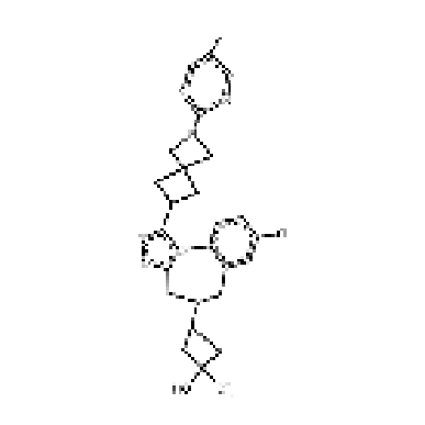 OC1(C(F)(F)F)CC(N2Cc3cc(Cl)ccc3-n3c(nnc3C3CC4(C3)CN(c3ncc(F)cn3)C4)C2)C1